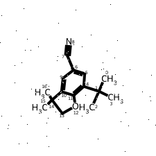 CC(C)(C)c1cc(C#N)cc2c1OCC2(C)C